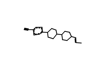 C#Cc1ccc(C2CCC(C3CCC(/C=C/C)CC3)CC2)cc1